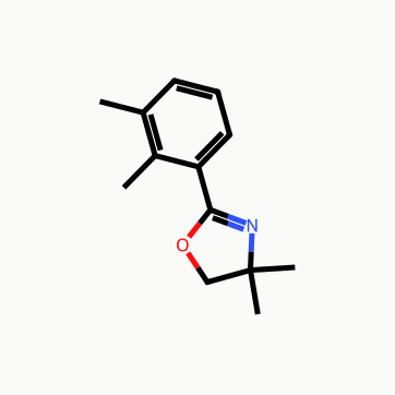 Cc1cccc(C2=NC(C)(C)CO2)c1C